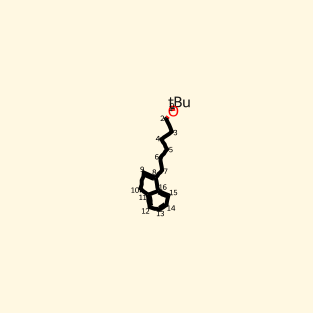 CC(C)(C)OCCCCCCC1=C[CH]c2ccccc21